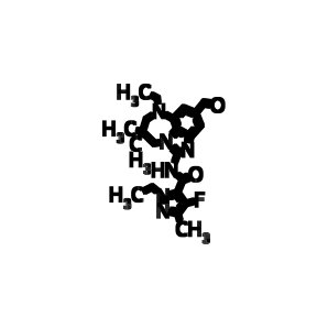 CCN1CC(C)(C)Cn2c(NC(=O)c3c(F)c(C)nn3CC)nc3cc(C=O)cc1c32